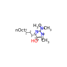 CCCCCCCCCCCc1nc(N(C)C)nc(C)c1O